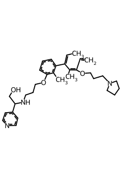 C=C/C(OCCCN1CCCC1)=C(C)\C(=C/C)c1cccc(OCCCNC(CO)c2ccncc2)c1C